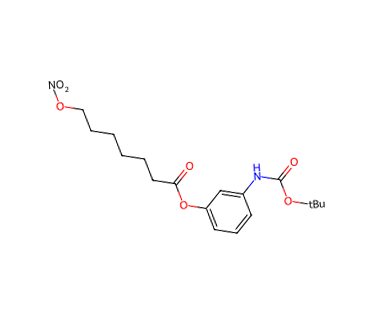 CC(C)(C)OC(=O)Nc1cccc(OC(=O)CCCCCCO[N+](=O)[O-])c1